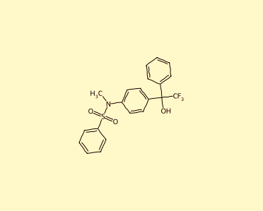 CN(c1ccc(C(O)(c2ccccc2)C(F)(F)F)cc1)S(=O)(=O)c1ccccc1